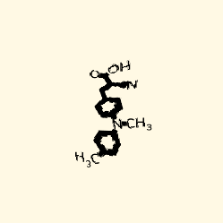 Cc1ccc(N(C)c2ccc(/C=C(\C#N)C(=O)O)cc2)cc1